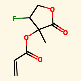 C=CC(=O)OC1(C)C(=O)OCC1F